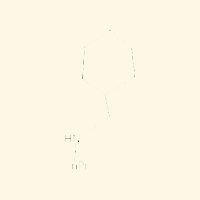 CCCNCC1CCCCC1